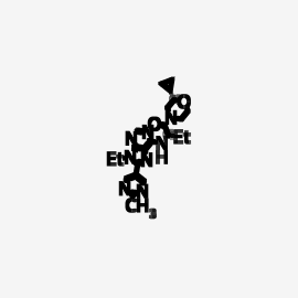 CC[C@@H](Nc1ncnc2c1nc(-c1cnc(C)nc1)n2CC)C(=O)N1CCO[C@@H](C2CC2)C1